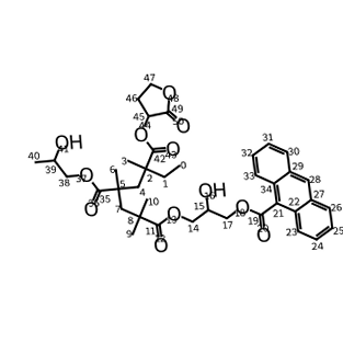 CCC(C)(CC(C)(CC(C)(C)C(=O)OCC(O)COC(=O)c1c2ccccc2cc2ccccc12)C(=O)OCC(C)O)C(=O)OC1CCOC1=O